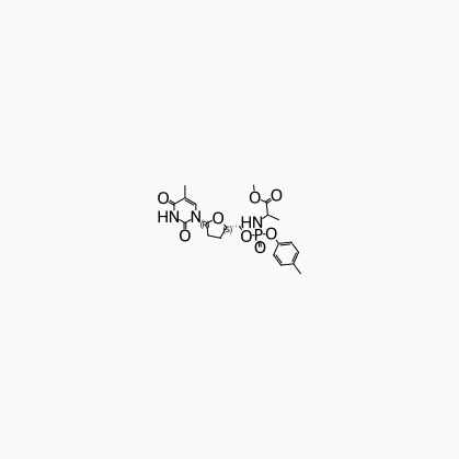 COC(=O)C(C)NP(=O)(OC[C@@H]1CC[C@H](n2cc(C)c(=O)[nH]c2=O)O1)Oc1ccc(C)cc1